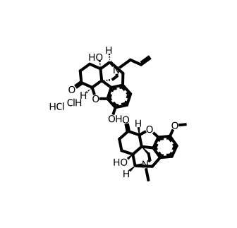 C=CCN1CC[C@]23c4c5ccc(O)c4O[C@H]2C(=O)CC[C@@]3(O)[C@H]1C5.COc1ccc2c3c1O[C@H]1C(=O)CC[C@@]4(O)[C@@H](C2)N(C)CC[C@]314.Cl.Cl